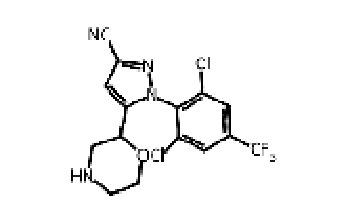 N#Cc1cc(C2CNCCO2)n(-c2c(Cl)cc(C(F)(F)F)cc2Cl)n1